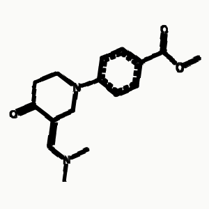 COC(=O)c1ccc(N2CCC(=O)/C(=C/N(C)C)C2)cc1